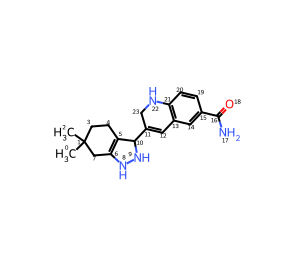 CC1(C)CCC2=C(C1)NNC2C1=Cc2cc(C(N)=O)ccc2NC1